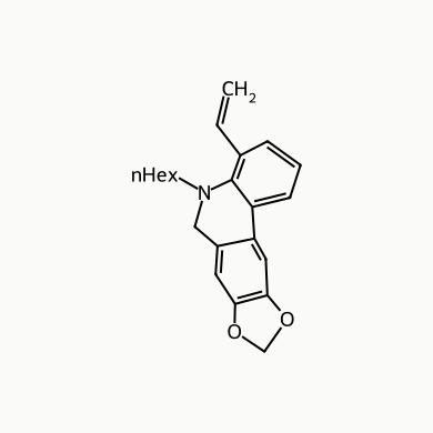 C=Cc1cccc2c1N(CCCCCC)Cc1cc3c(cc1-2)OCO3